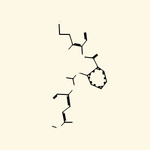 C=C/C(SC(=C)c1ccccc1NC(O)O/C(C=C)=C/C=C(\C)OC)=C(/N)CCN